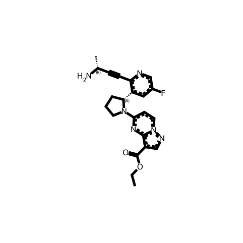 CCOC(=O)c1cnn2ccc(N3CCC[C@@H]3c3cc(F)cnc3C#C[C@@H](C)N)nc12